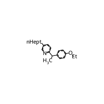 CCCCCCCc1ccc(C(C)c2ccc(OCC)cc2)nc1